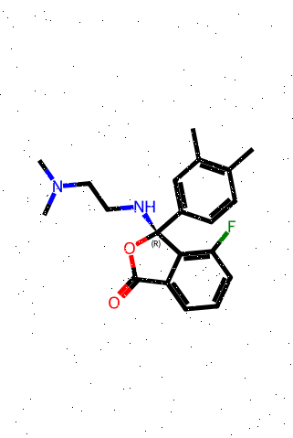 Cc1ccc([C@@]2(NCCN(C)C)OC(=O)c3cccc(F)c32)cc1C